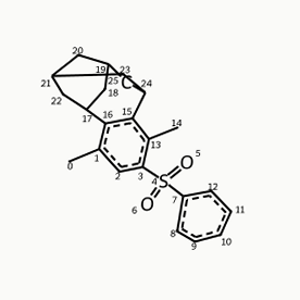 Cc1cc(S(=O)(=O)c2ccccc2)c(C)c2c1C1CC3CC(C1)CC2C3